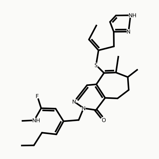 C/C=C(\Cc1cc[nH]n1)SC1=C(C)C(C)CCc2c1cnn(CC(=C/CCC)/C=C(/F)NC)c2=O